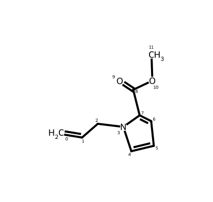 C=CCn1cccc1C(=O)OC